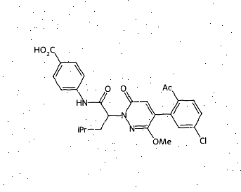 COc1nn(C(CC(C)C)C(=O)Nc2ccc(C(=O)O)cc2)c(=O)cc1-c1cc(Cl)ccc1C(C)=O